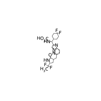 CC(F)(F)C1CC(Cc2ccc3nc([C@@H](NC(=O)O)C4CCC(F)(F)CC4)cn3n2)C(=O)N1